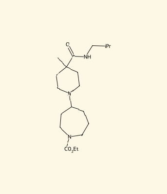 CCOC(=O)N1CCCC(N2CCC(C)(C(=O)NCC(C)C)CC2)CC1